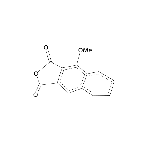 COc1c2c(cc3ccccc13)C(=O)OC2=O